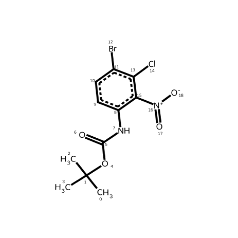 CC(C)(C)OC(=O)Nc1ccc(Br)c(Cl)c1[N+](=O)[O-]